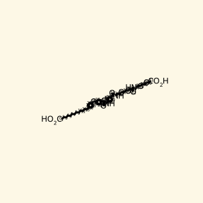 O=C(O)CCCCCCCCCCCCCc1ccc(Oc2ccc(S(=O)(=O)Nc3ccc(C(=O)NCCOCCOCC(=O)NCCOCCOCC(=O)O)cn3)cc2)cc1